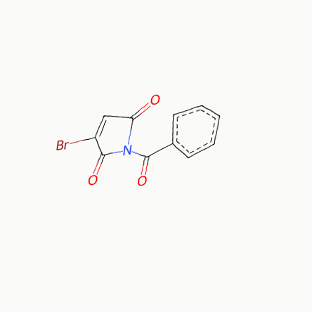 O=C1C=C(Br)C(=O)N1C(=O)c1ccccc1